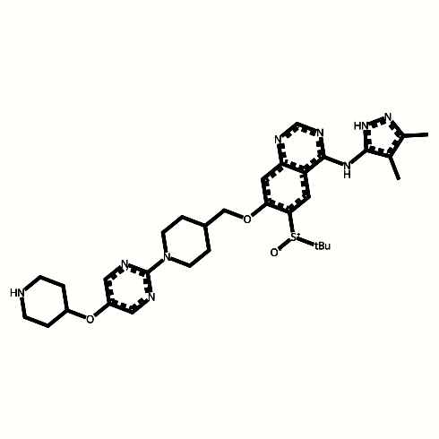 Cc1n[nH]c(Nc2ncnc3cc(OCC4CCN(c5ncc(OC6CCNCC6)cn5)CC4)c([S+]([O-])C(C)(C)C)cc23)c1C